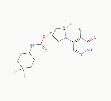 C[C@H]1C[C@@H](OC(=O)NC2CCC(F)(F)CC2)CN1c1cn[nH]c(=O)c1Cl